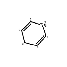 C1=C[Te]C=CC1